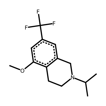 COc1cc(C(F)(F)F)cc2c1CCN(C(C)C)C2